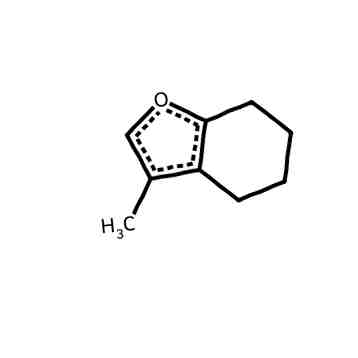 Cc1coc2c1CCCC2